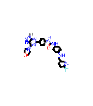 CCn1nnc2c(N3CCOCC3)nc(-c3ccc(NC(=O)Nc4ccc(NCc5ccc(F)nc5)cc4)cc3)nc21